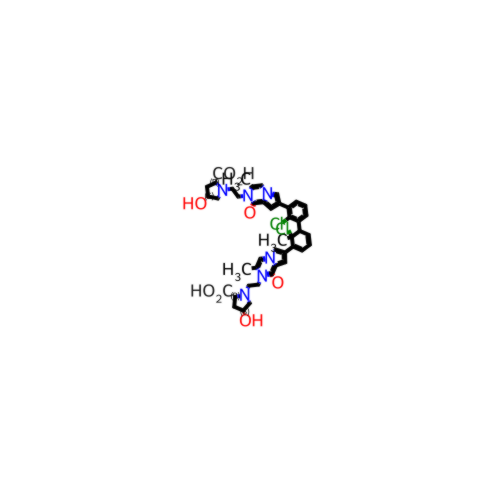 Cc1cn2cc(C3=CC=CC(c4cccc(-c5cc6c(=O)n(CCN7C[C@@H](O)C[C@@H]7C(=O)O)c(C)cn6c5)c4Cl)C3(C)Cl)cc2c(=O)n1CCN1C[C@@H](O)C[C@@H]1C(=O)O